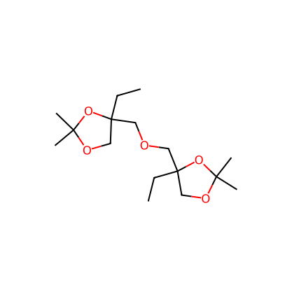 CCC1(COCC2(CC)COC(C)(C)O2)COC(C)(C)O1